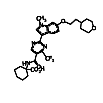 Cn1cc(-c2ncc(C(=O)NC3(C(=O)O)CCCCC3)c(C(F)(F)F)n2)c2ccc(OCCC3CCOCC3)cc21